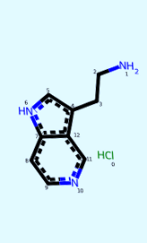 Cl.NCCc1c[nH]c2ccncc12